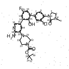 CN1CCN(c2ccc(-c3cc(F)cc(-c4cnc(N)c(N5CCN(C(=O)OC(C)(C)C)CC5)c4)c3O)cc2Cl)C1=O